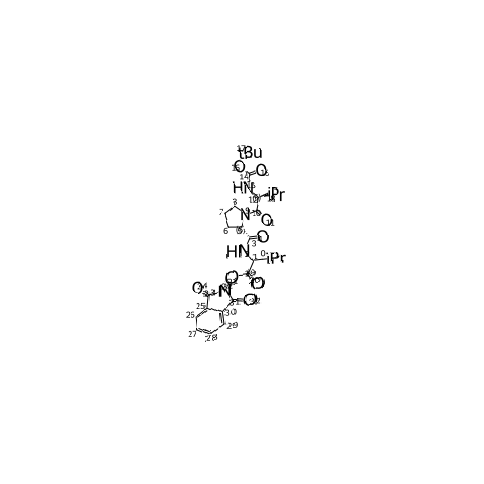 CC(C)C(NC(=O)[C@@H]1CCCN1C(=O)[C@@H](NC(=O)OC(C)(C)C)C(C)C)C(=O)ON1C(=O)c2ccccc2C1=O